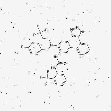 O=C(Nc1cc(-c2ccccc2-c2nnn[nH]2)ccc1N(CCC(F)(F)F)Cc1ccc(F)cc1)Nc1ccccc1C(F)(F)F